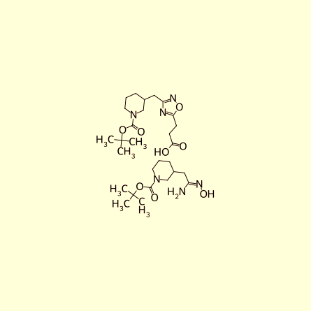 CC(C)(C)OC(=O)N1CCCC(C/C(N)=N/O)C1.CC(C)(C)OC(=O)N1CCCC(Cc2noc(CCC(=O)O)n2)C1